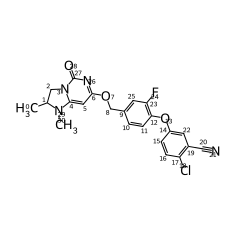 CC1Cn2c(cc(OCc3ccc(Oc4ccc(Cl)c(C#N)c4)c(F)c3)nc2=O)N1C